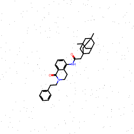 CC12CC3CC(C)(C1)CC(CC(=O)Nc1cccc4c1CCN(CCc1ccccc1)C4=O)(C3)C2